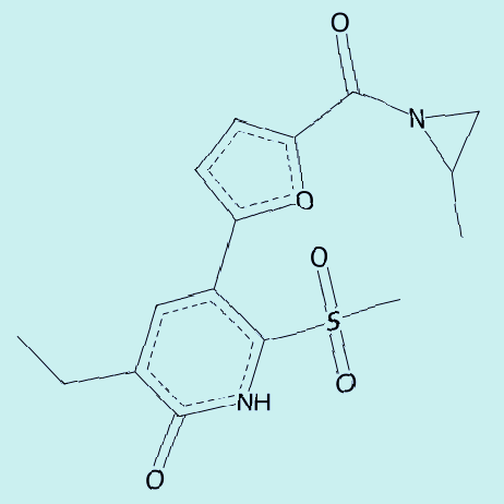 CCc1cc(-c2ccc(C(=O)N3CC3C)o2)c(S(C)(=O)=O)[nH]c1=O